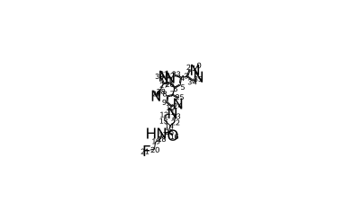 Cn1cc(-c2cc(-c3ccc(N4CCC(C(=O)NCCCF)CC4)nc3)c3c(C#N)cnn3c2)cn1